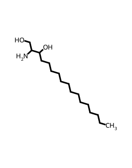 CCCCCCCCCCCCCCC(O)C(N)CO